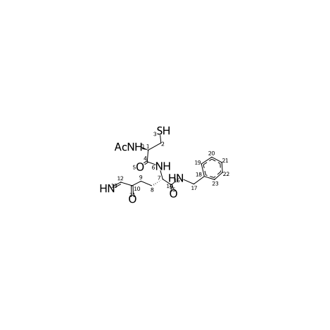 CC(=O)N[C@@H](CS)C(=O)N[C@@H](CCC(=O)C=N)C(=O)NCc1ccccc1